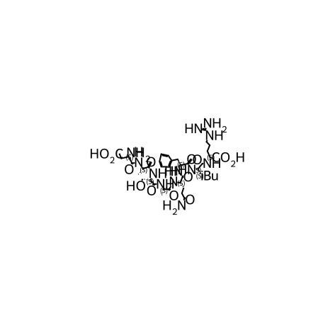 CC[C@H](C)[C@H](NC(=O)[C@H](Cc1ccccc1)NC(=O)[C@H](CCC(N)=O)NC(=O)[C@H](C)NC(=O)[C@H](CO)NC(=O)[C@H](C)NC(=O)[C@@H](N)CC(=O)O)C(=O)N[C@@H](CCCNC(=N)N)C(=O)O